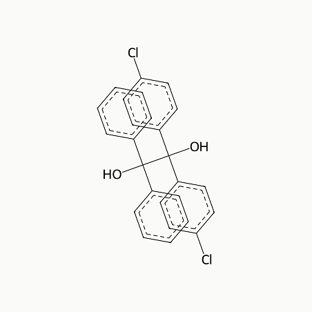 OC(c1ccccc1)(c1ccccc1)C(O)(c1ccc(Cl)cc1)c1ccc(Cl)cc1